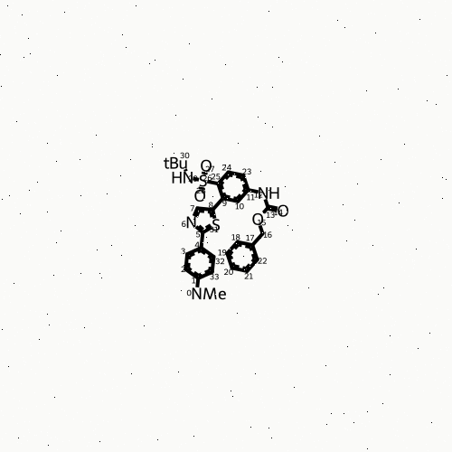 CNc1ccc(-c2ncc(-c3cc(NC(=O)OCc4ccccc4)ccc3S(=O)(=O)NC(C)(C)C)s2)cc1